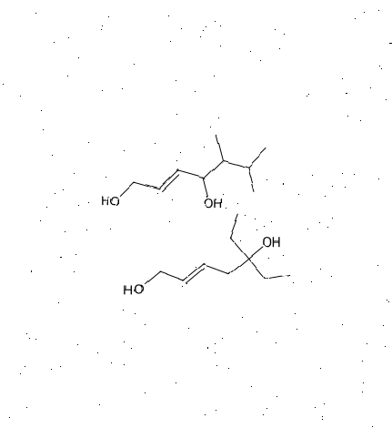 CC(C)C(C)C(O)C=CCO.CCC(O)(CC)CC=CCO